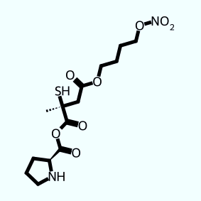 C[C@](S)(CC(=O)OCCCCO[N+](=O)[O-])C(=O)OC(=O)[C@@H]1CCCN1